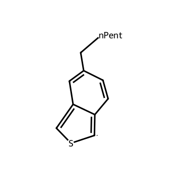 CCCCCCc1ccc2[c]scc2c1